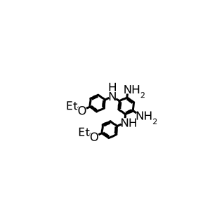 CCOc1ccc(Nc2cc(Nc3ccc(OCC)cc3)c(N)cc2N)cc1